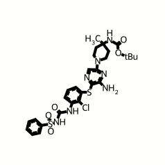 CC1(NC(=O)OC(C)(C)C)CCN(c2cnc(Sc3cccc(NC(=O)NS(=O)(=O)c4ccccc4)c3Cl)c(N)n2)CC1